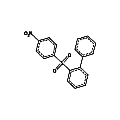 O=[N+]([O-])c1ccc(S(=O)(=O)c2ccccc2-c2ccccc2)cc1